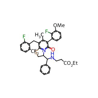 CCOC(=O)CCNC(c1ccccc1)C1CSc2c(Cc3c(F)cccc3C(F)(F)F)c(C)c(-c3cccc(OC)c3F)c(=O)n21